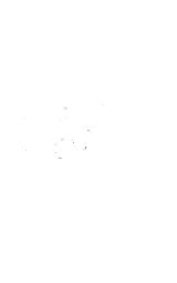 CC(CO)[C@@]1(O)[C@H]2CCC[C@@H]1[C@@H](C)C2